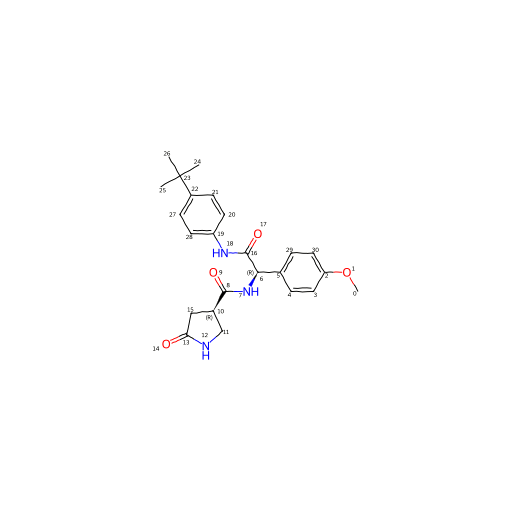 COc1ccc([C@@H](NC(=O)[C@H]2CNC(=O)C2)C(=O)Nc2ccc(C(C)(C)C)cc2)cc1